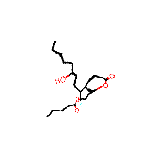 CCCCCC(O)C=CC1C2CC(=O)OC2CC1(F)OC(=O)CCCC